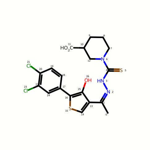 CC(=NNC(=S)N1CCCC(C(=O)O)C1)c1csc(-c2ccc(Cl)c(Cl)c2)c1O